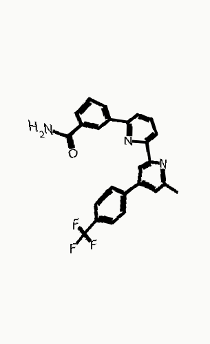 Cc1cc(-c2ccc(C(F)(F)F)cc2)cc(-c2cccc(-c3cccc(C(N)=O)c3)n2)n1